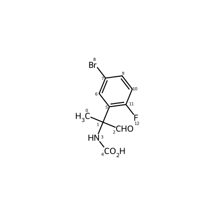 CC(C=O)(NC(=O)O)c1cc(Br)ccc1F